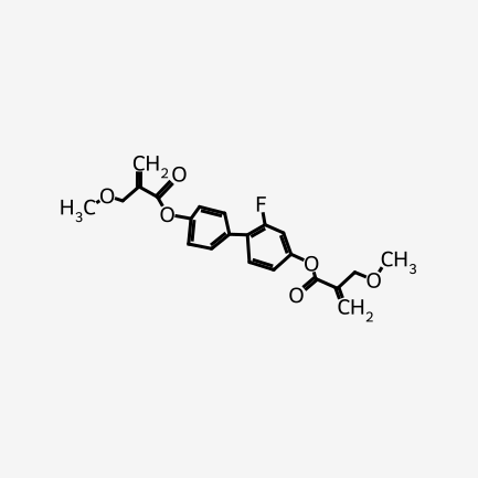 C=C(COC)C(=O)Oc1ccc(-c2ccc(OC(=O)C(=C)COC)cc2F)cc1